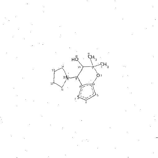 CC1(C)Oc2ccsc2C(N2CCCC2)C1O